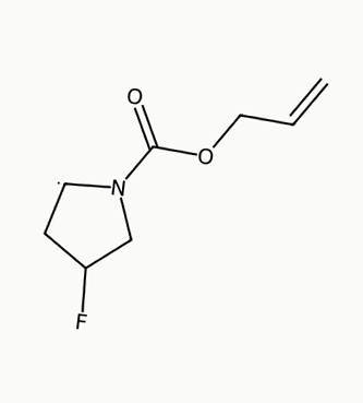 C=CCOC(=O)N1[CH]CC(F)C1